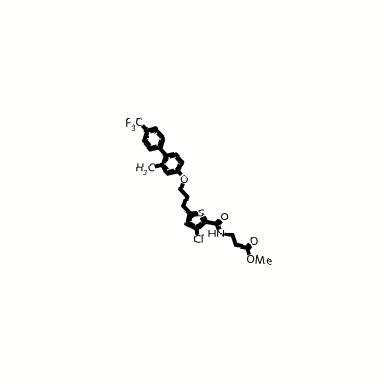 COC(=O)CCNC(=O)c1sc(CCCOc2ccc(-c3ccc(C(F)(F)F)cc3)c(C)c2)cc1Cl